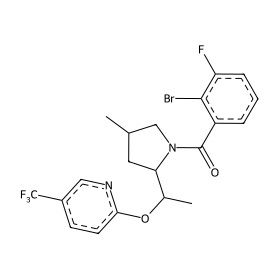 CC1CC(C(C)Oc2ccc(C(F)(F)F)cn2)N(C(=O)c2cccc(F)c2Br)C1